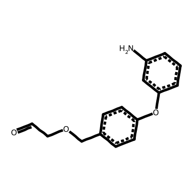 Nc1cccc(Oc2ccc(COCC=O)cc2)c1